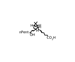 CCCCC[C@@H](O)C=C[C@H]1C[C@H]2C[C@@H]([C@@H]1CC=CCCCC(=O)O)C2(C)C